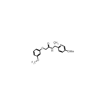 COc1ccc([C@@H](C)NC(=O)COc2cccc(OC(F)(F)F)c2)nc1